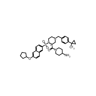 NC1CCN(C(=O)[C@@H]2CN(Cc3ccc(C4(C(F)(F)F)CC4)cc3)CCN2S(=O)(=O)c2ccc3cc(OC4CCCC4)ccc3c2)CC1